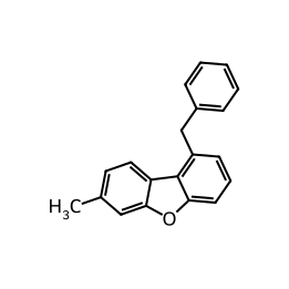 Cc1ccc2c(c1)oc1cccc(Cc3ccccc3)c12